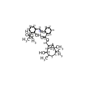 CC1CC[C@@H](C)C2(C)C3C(COC(=O)c4ccccc4/N=C/c4cccc(C(C)(C)C)c4O)C(C1O)C32